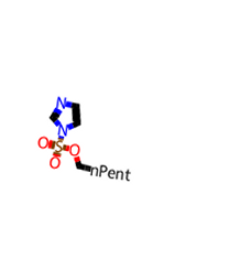 CCCCCCOS(=O)(=O)n1ccnc1